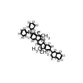 CC1(C)c2cc(-c3ccc4ccccc4c3)ccc2-c2nc3c(cc21)-c1ccc(N(c2ccccc2)c2ccccc2)cc1C3(C)C